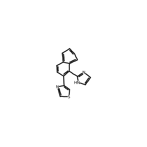 c1ccc2c(-c3ncc[nH]3)c(-c3cscn3)ccc2c1